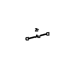 [Cl][Au][Cl].[Zr]